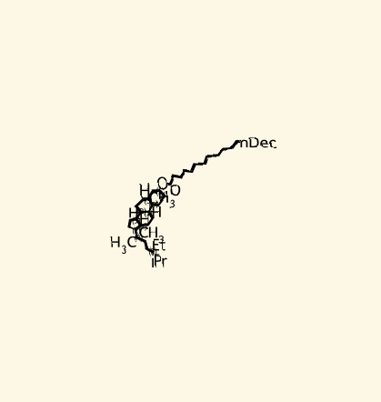 CCCCCCCCCCCCCCCCCCCCCC(=O)O[C@H]1CC[C@@]2(C)[C@@H](CC[C@@H]3[C@@H]2CC[C@]2(C)[C@@H]([C@H](C)CC[C@@H](CC)C(C)C)CC[C@@H]32)C1